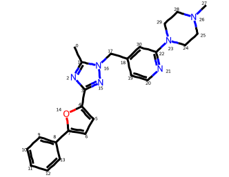 Cc1nc(-c2ccc(-c3ccccc3)o2)nn1Cc1ccnc(N2CCN(C)CC2)c1